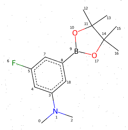 CN(C)c1cc(F)cc(B2OC(C)(C)C(C)(C)O2)c1